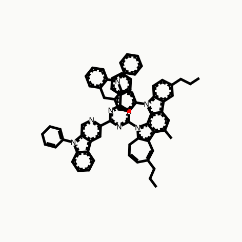 CCCC1=Cc2c(n(-c3nc(-c4ccccc4)nc(-c4cc5c6ccccc6n(C6=CCCC=C6)c5cn4)n3)c3c2c(C)cc2c4cc(CCC)ccc4n(-c4ccc5c(c4)N(c4ccccc4)c4ccccc4C5)c23)CC=C1